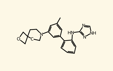 Cc1cc(-c2ccccc2Nc2nc[nH]n2)cc(N2CCC3(CC2)COC3)c1